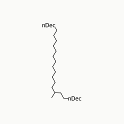 CCCCCCCCCCCCCCCCCCCCCCC(C)CCCCCCCCCCCC